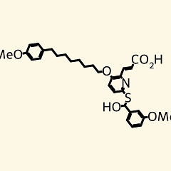 COc1ccc(CCCCCCCCOc2ccc(SC(O)c3cccc(OC)c3)nc2C=CC(=O)O)cc1